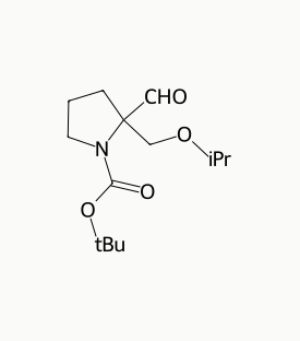 CC(C)OCC1(C=O)CCCN1C(=O)OC(C)(C)C